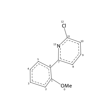 COc1ccccc1-c1cccc(Cl)n1